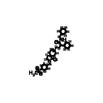 CS(=O)(=O)c1ccc(CN2CCC3(CCN(CCC(C(=O)NCc4ccccc4)c4ccccc4)CC3)C2=O)cc1